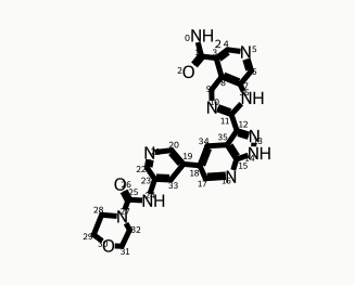 NC(=O)c1cncc2c1CN=C(c1n[nH]c3ncc(-c4cncc(NC(=O)N5CCOCC5)c4)cc13)N2